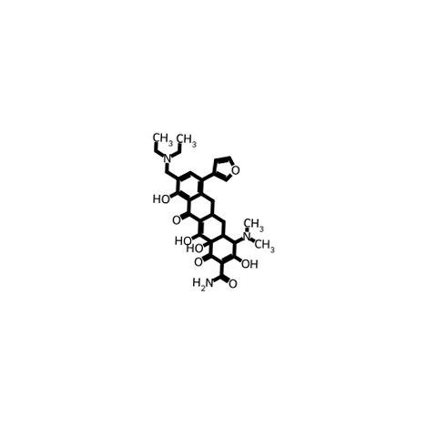 CCN(CC)Cc1cc(-c2ccoc2)c2c(c1O)C(=O)C1=C(O)C3(O)C(=O)C(C(N)=O)=C(O)C(N(C)C)C3CC1C2